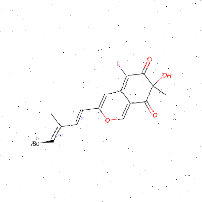 CC[C@H](C)/C=C(C)/C=C/C1=CC2=C(I)C(=O)C(C)(O)C(=O)C2=CO1